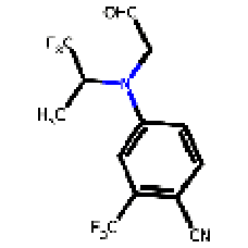 CC(N(CC=O)c1ccc(C#N)c(C(F)(F)F)c1)C(F)(F)F